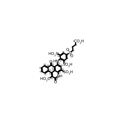 O=C(O)CCCS(=O)(=O)c1cc(S(=O)(=O)O)c(Nc2cc(S(=O)(=O)O)c3[nH]c(=O)c(C(=O)O)c4c3c2C(=O)c2ccccc2-4)c(S(=O)(=O)O)c1